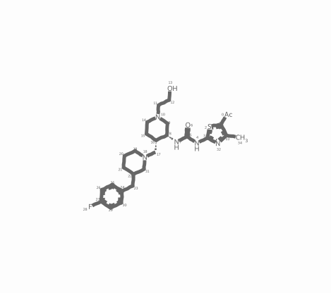 CC(=O)c1sc(NC(=O)N[C@H]2CN(CCO)CC[C@H]2CN2CCCC(Cc3ccc(F)cc3)C2)nc1C